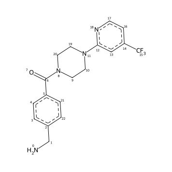 NCc1ccc(C(=O)N2CCN(c3cc(C(F)(F)F)ccn3)CC2)cc1